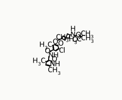 Cc1cc(C)c(CNC(=O)c2cc(Cl)c3c(c2C)OC(C)(C2CC4(CC(NC(=O)OC(C)(C)C)C4)C2)O3)c(=O)[nH]1